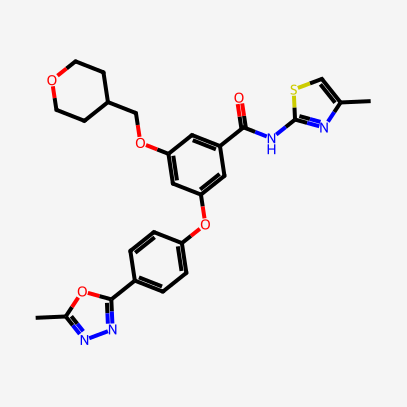 Cc1csc(NC(=O)c2cc(OCC3CCOCC3)cc(Oc3ccc(-c4nnc(C)o4)cc3)c2)n1